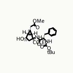 CCOC(=O)[C@]1(NC(=O)[C@H](Cc2ccccc2)NC(=O)OC(C)(C)C)C[C@H](O)[C@H]2[C@H](CC(=O)OC)[C@H]21